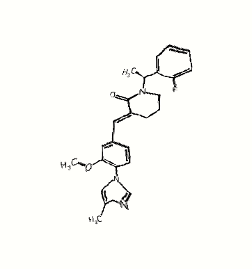 COc1cc(C=C2CCCN([C@@H](C)c3ccccc3F)C2=O)ccc1-n1cnc(C)c1